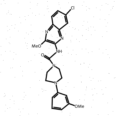 COc1cccc(N2CCN(C(=O)Nc3nc4cc(Cl)ccc4nc3OC)CC2)c1